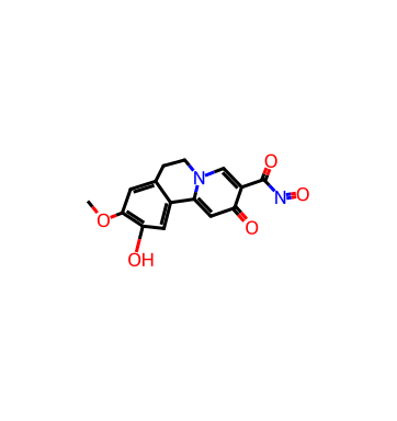 COc1cc2c(cc1O)-c1cc(=O)c(C(=O)N=O)cn1CC2